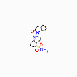 NS(=O)(=O)c1cccc2nc(N3C(=O)Cc4ccccc43)ccc12